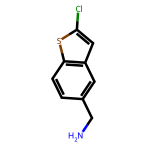 NCc1ccc2sc(Cl)cc2c1